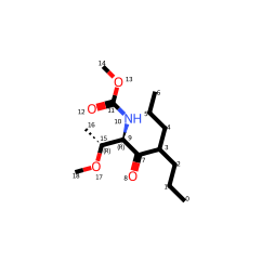 CCCC(CCC)C(=O)[C@H](NC(=O)OC)[C@@H](C)OC